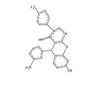 N#Cc1ccc2c(c1)Oc1ncn(-c3ccc(C(F)(F)F)cc3)c(=N)c1C2c1cccc(N)c1